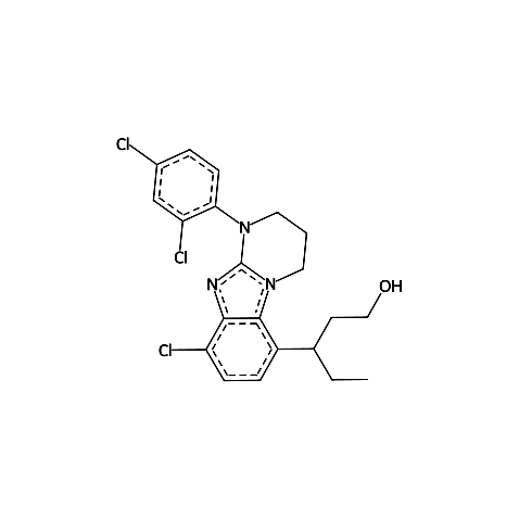 CCC(CCO)c1ccc(Cl)c2nc3n(c12)CCCN3c1ccc(Cl)cc1Cl